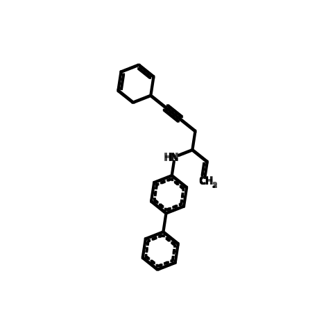 C=CC(CC#CC1C=CC=CC1)Nc1ccc(-c2ccccc2)cc1